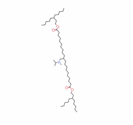 CCCCCC(CCCCC)CCOC(=O)CCCCCCCCCC(CCCCCCCCCC(=O)OCCC(CCCCC)CCCCC)CN(C)C(C)C